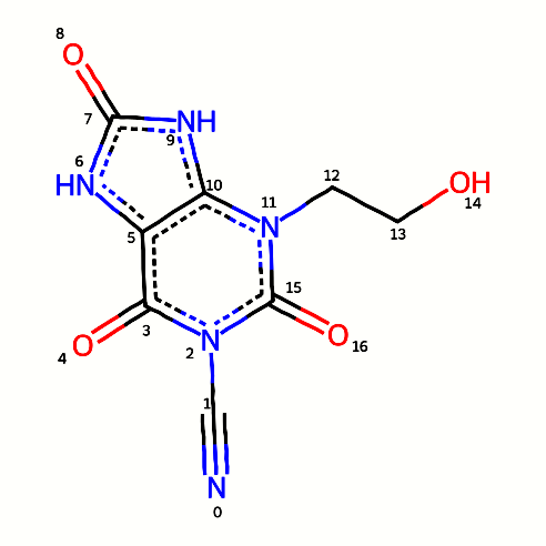 N#Cn1c(=O)c2[nH]c(=O)[nH]c2n(CCO)c1=O